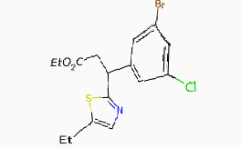 CCOC(=O)CC(c1cc(Cl)cc(Br)c1)c1ncc(CC)s1